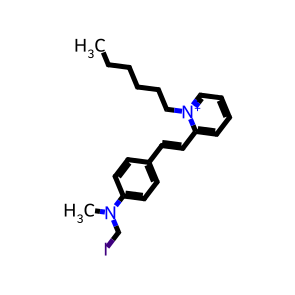 CCCCCC[n+]1ccccc1C=Cc1ccc(N(C)CI)cc1